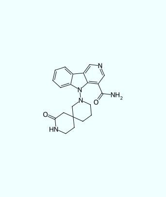 NC(=O)c1cncc2c3ccccc3n(N3CCCC4(CCNC(=O)C4)C3)c12